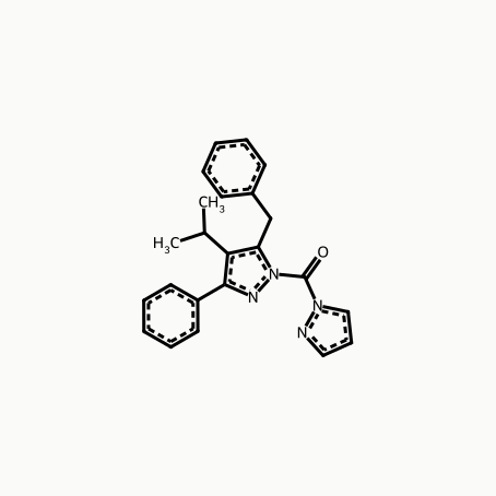 CC(C)c1c(-c2ccccc2)nn(C(=O)n2cccn2)c1Cc1ccccc1